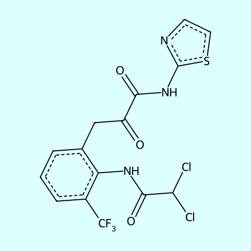 O=C(Cc1cccc(C(F)(F)F)c1NC(=O)C(Cl)Cl)C(=O)Nc1nccs1